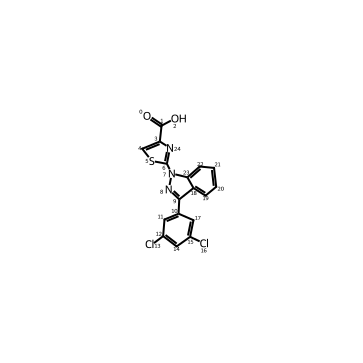 O=C(O)c1csc(-n2nc(-c3cc(Cl)cc(Cl)c3)c3ccccc32)n1